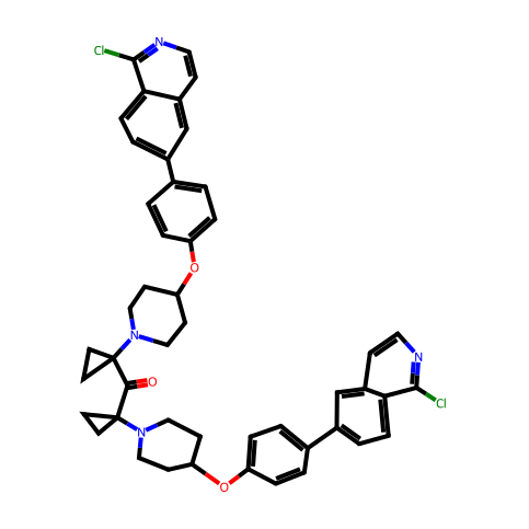 O=C(C1(N2CCC(Oc3ccc(-c4ccc5c(Cl)nccc5c4)cc3)CC2)CC1)C1(N2CCC(Oc3ccc(-c4ccc5c(Cl)nccc5c4)cc3)CC2)CC1